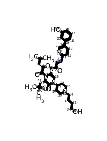 CC(C)C[C@H]1ON(C(=O)/C=C/c2ccc(-c3cccc(O)c3)cn2)C2=CN(C3CCN(CCCCO)CC3)C(=O)[C@H](CC(C)(C)C)N2C1=O